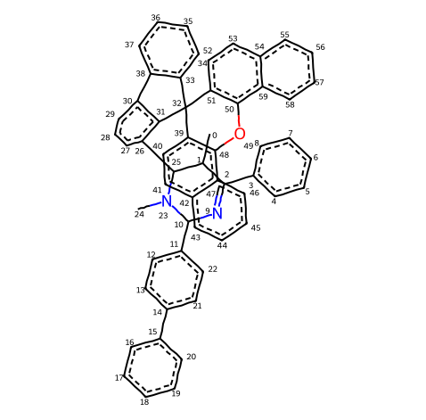 CC1C(c2ccccc2)=NC(c2ccc(-c3ccccc3)cc2)N(C)C1c1cccc2c1C1(c3ccccc3-2)c2ccc3ccccc3c2Oc2c1ccc1ccccc21